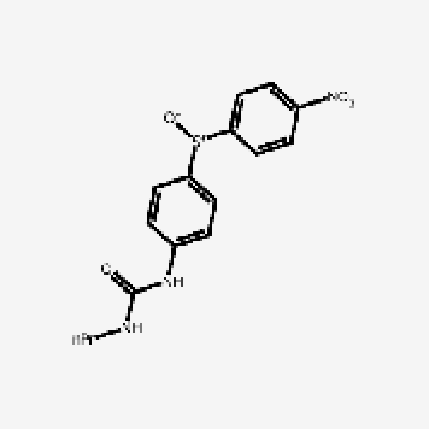 CCCNC(=O)Nc1ccc([S+]([O-])c2ccc([N+](=O)[O-])cc2)cc1